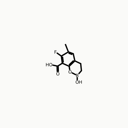 Cc1cc2c(c(C(=O)O)c1F)OB(O)CC2